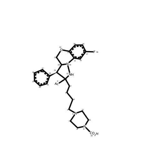 CC(=O)C1(CCCCN2CCN(C(=O)O)CC2)NN2c3cc(F)ccc3OCC2[C@@H]1c1ccccc1